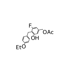 CCOc1ccc(Cc2c(O)cc(COC(C)=O)cc2F)cc1